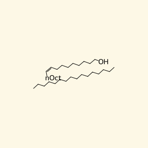 CCCCCCCC/C=C\CCCCCCCCO.CCCCCCCCCCCCCCCC